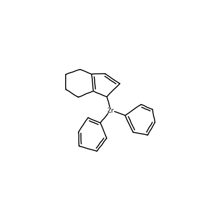 C1=C[CH]([Zr]([c]2ccccc2)[c]2ccccc2)C2=C1CCCC2